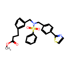 COC(=O)CCc1cccc(CN(Cc2ccc(-c3nccs3)cc2)S(=O)(=O)c2ccccc2)c1